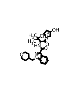 CC(C)(C)[C@H](NC(=O)c1nn(CC2CCOCC2)c2ccccc12)C(=O)N1CC[C@@H](O)C1